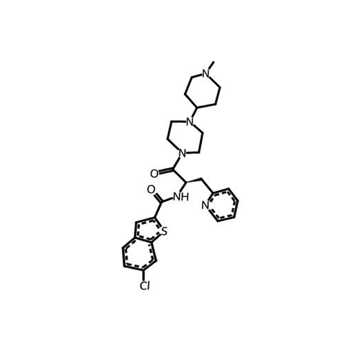 CN1CCC(N2CCN(C(=O)[C@@H](Cc3ccccn3)NC(=O)c3cc4ccc(Cl)cc4s3)CC2)CC1